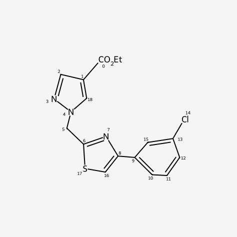 CCOC(=O)c1cnn(Cc2nc(-c3cccc(Cl)c3)cs2)c1